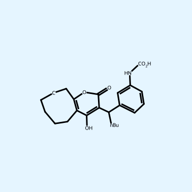 CCCCC(c1cccc(NC(=O)O)c1)c1c(O)c2c(oc1=O)CCCCCC2